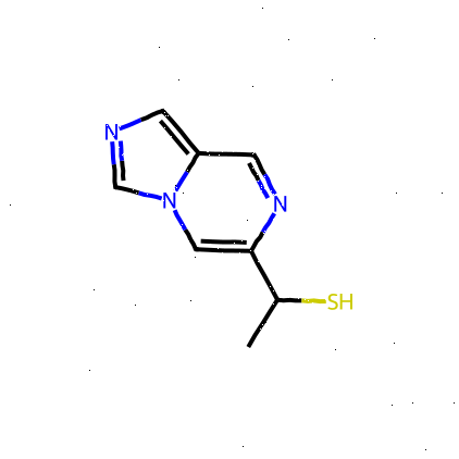 CC(S)c1cn2cncc2cn1